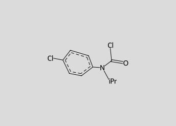 CC(C)N(C(=O)Cl)c1ccc(Cl)cc1